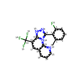 Cc1cccc(F)c1-c1nnc2c(C(F)(F)F)cc3cccnc3n12